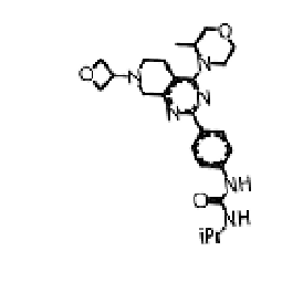 CC(C)NC(=O)Nc1ccc(-c2nc3c(c(N4CCOCC4C)n2)CCN(C2COC2)C3)cc1